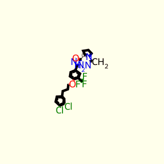 C=C(N)N1CCC[C@H]1c1nc(-c2ccc(OCCCc3ccc(Cl)c(Cl)c3)c(C(F)(F)F)c2)no1